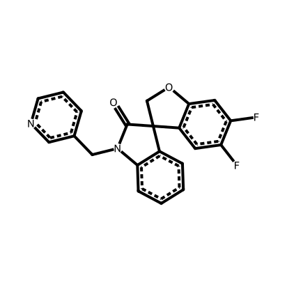 O=C1N(Cc2cccnc2)c2ccccc2C12COc1cc(F)c(F)cc12